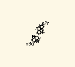 CCCCC1CC[C@@H]2C[C@H](c3cc(F)c(-c4ccc(CCC)cc4)c(F)c3)CC[C@@H]2C1